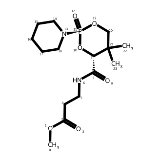 COC(=O)CCNC(=O)[C@@H]1O[P@@](=O)(N2CCCCC2)OCC1(C)C